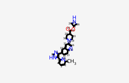 Cc1cccc(-c2[nH]cnc2-c2ccc3ncc(N4CCC(C(=O)OC5CNC5)CC4)cc3c2)n1